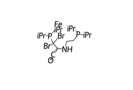 CC(C)P(CCNC(=C=O)C(Br)(Br)P(C(C)C)C(C)C)C(C)C.[Fe]